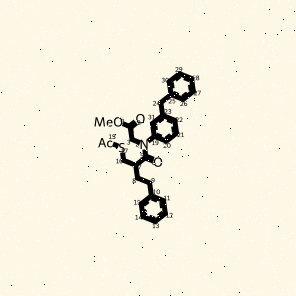 COC(=O)CN(C(=O)C(CCc1ccccc1)CSC(C)=O)c1cccc(Cc2ccccc2)c1